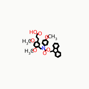 COc1ccc(N(Cc2cc(CCC(=O)O)c(OC)cc2OC)C(=O)OCC2c3ccccc3-c3ccccc32)cc1